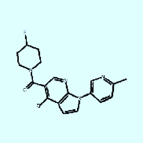 Cc1ccc(-n2ccc3c(Cl)c(C(=O)N4CCC(F)CC4)cnc32)cn1